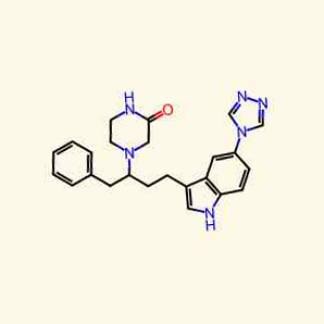 O=C1CN(C(CCc2c[nH]c3ccc(-n4cnnc4)cc23)Cc2ccccc2)CCN1